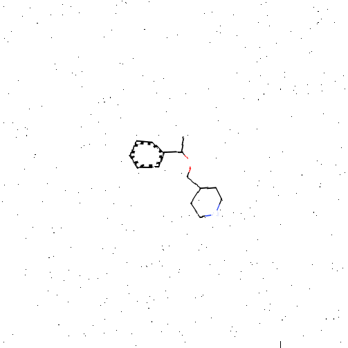 CC(OCC1CCNCC1)c1ccccc1